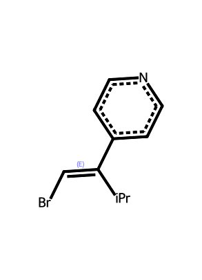 CC(C)/C(=C\Br)c1ccncc1